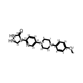 COc1ccc(N2CCN(c3ccc(N4CNNC4=O)nc3)CC2)cc1